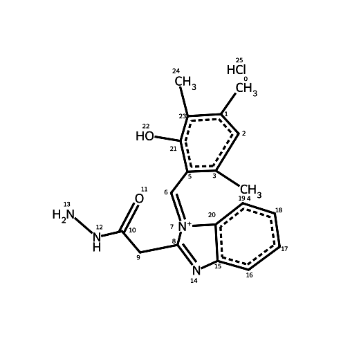 Cc1cc(C)c(C=[N+]2C(CC(=O)NN)=Nc3ccccc32)c(O)c1C.Cl